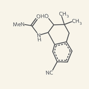 CNC(=O)NC1c2cc(C#N)ccc2CC(C)(C)C1O